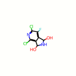 OC1NC(O)c2c(F)c(Cl)nc(Cl)c21